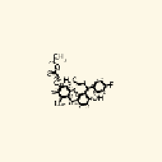 CCCC(c1ccc(F)cc1)c1cc(Cc2c(Cl)cc(OCC(=O)OCC)c(F)c2Cl)ccc1O